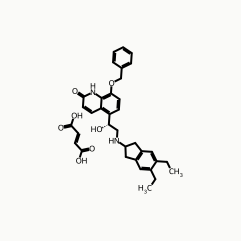 CCc1cc2c(cc1CC)CC(NC[C@H](O)c1ccc(OCc3ccccc3)c3[nH]c(=O)ccc13)C2.O=C(O)/C=C/C(=O)O